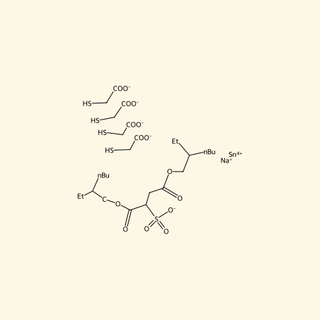 CCCCC(CC)COC(=O)CC(C(=O)OCC(CC)CCCC)S(=O)(=O)[O-].O=C([O-])CS.O=C([O-])CS.O=C([O-])CS.O=C([O-])CS.[Na+].[Sn+4]